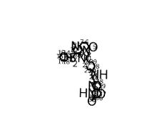 N[C@@H](Cn1c(=O)ccc2ncc(Sc3ccccc3)cc21)[C@H]1CC[C@H](NCc2ccc3c(n2)NC(=O)CO3)CC1